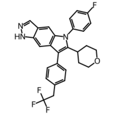 Fc1ccc(-n2c(C3CCOCC3)c(-c3ccc(CC(F)(F)F)cc3)c3cc4[nH]ncc4cc32)cc1